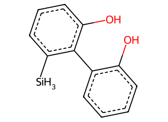 Oc1ccccc1-c1c(O)cccc1[SiH3]